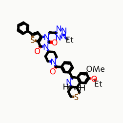 CCOc1cc2c(cc1OC)C(c1cccc(C(=O)N3CCC(n4c(=O)c5sc(-c6ccccc6)cc5n(Cc5nnn(CC)n5)c4=O)CC3)c1)=N[C@@H]1CCSC[C@H]21